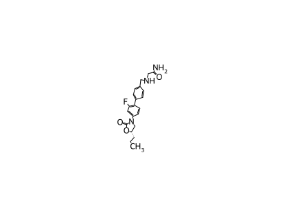 CCC[C@H]1CN(c2ccc(-c3ccc(CNCC(N)=O)cc3)c(F)c2)C(=O)O1